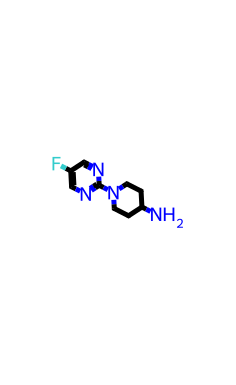 NC1CCN(c2ncc(F)cn2)CC1